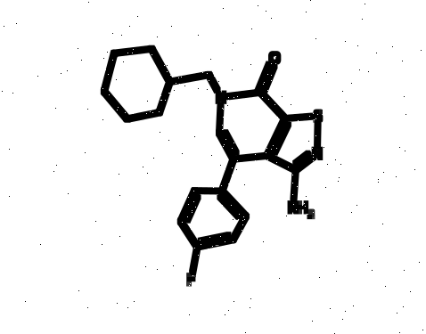 Nc1nsc2c(=O)n(CC3CCCCC3)cc(-c3ccc(F)cc3)c12